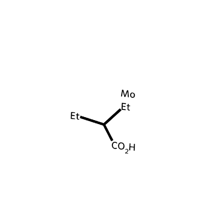 CCC(CC)C(=O)O.[Mo]